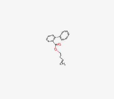 C=CCCOC(=O)c1ccccc1-c1ccccc1